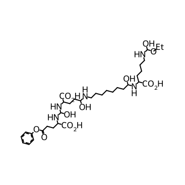 CCOC(O)NCCCCC(NC(O)CCCCCCCNC(O)CCC(NC(O)NC(CCC(=O)Oc1ccccc1)C(=O)O)C(=O)O)C(=O)O